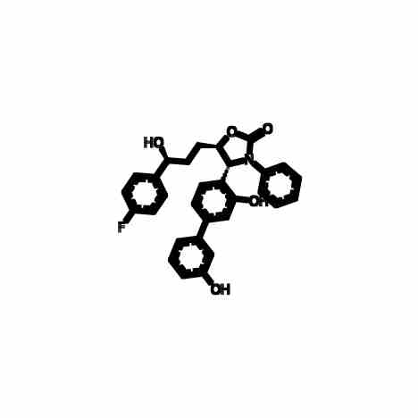 O=C1O[C@H](CC[C@H](O)c2ccc(F)cc2)[C@@H](c2ccc(-c3cccc(O)c3)cc2O)N1c1ccccc1